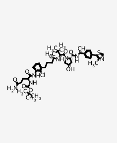 Cc1ncsc1-c1ccc([C@H](C)NC(=O)[C@@H]2C[C@@H](O)CN2C(=O)[C@@H](NC(=O)CCCc2cccc(NC(=O)C(CCC(N)=O)NC(=O)OC(C)(C)C)c2Cl)C(C)(C)C)cc1